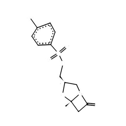 O=C1C[C@@H]2O[C@@H](COS(=O)(=O)c3ccc(Cl)cc3)CN12